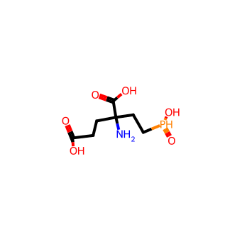 NC(CCC(=O)O)(CC[PH](=O)O)C(=O)O